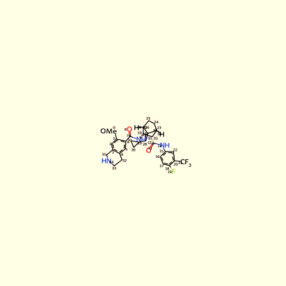 COc1cc2c(cc1C(=O)N[C@H]1[C@@H](C(=O)Nc3ccc(F)c(C(F)(F)F)c3)[C@H]3CC[C@@H]1/C3=C\C1CC1)CCNC2